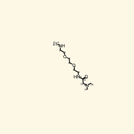 CCNCCOCCOCCNC(=O)CN(C)C